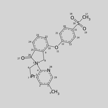 Cc1ccc([N+]2(CC(C)C)Cc3c(Oc4ccc(S(C)(=O)=O)cc4)cccc3C2=O)nc1